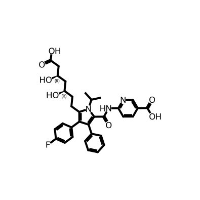 CC(C)n1c(CC[C@@H](O)C[C@@H](O)CC(=O)O)c(-c2ccc(F)cc2)c(-c2ccccc2)c1C(=O)Nc1ccc(C(=O)O)cn1